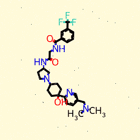 CN(C)Cc1ccc(C2(O)CCC(N3CC[C@@H](NC(=O)CNC(=O)c4cccc(C(F)(F)F)c4)C3)CC2)nc1